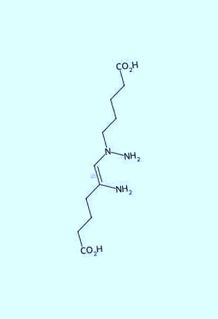 N/C(=C\N(N)CCCCC(=O)O)CCCC(=O)O